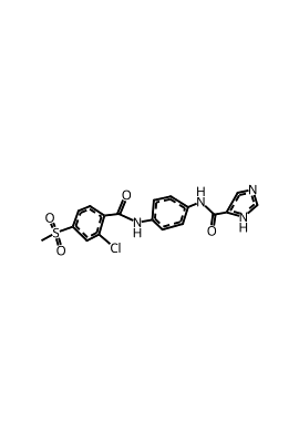 CS(=O)(=O)c1ccc(C(=O)Nc2ccc(NC(=O)c3cnc[nH]3)cc2)c(Cl)c1